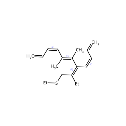 C=C\C=C/C(=C(\CC)CSCC)C(/C)=C(C)/C=C\C=C